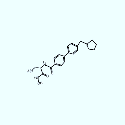 NC[C@H](NC(=O)c1ccc(-c2ccc(CN3CCCC3)cc2)cc1)C(=O)NO